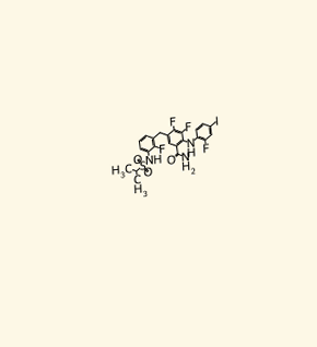 CC(C)S(=O)(=O)Nc1cccc(Cc2cc(C(N)=O)c(Nc3ccc(I)cc3F)c(F)c2F)c1F